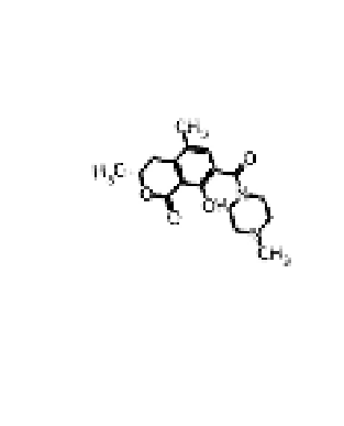 Cc1cc(C(=O)N2CCN(C)CC2)c(O)c2c1C[C@@H](C)OC2=O